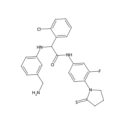 NCc1cccc(NC(C(=O)Nc2ccc(N3CCCC3=S)c(F)c2)c2ccccc2Cl)c1